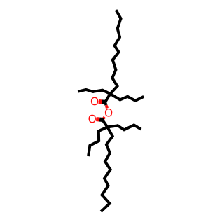 CCCCCCCCCCC(CCCC)(CCCC)C(=O)OC(=O)C(CCCC)(CCCC)CCCCCCCCCC